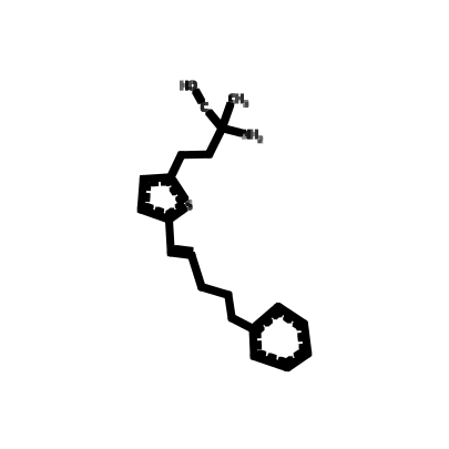 CC(N)(CO)CCc1ccc(C=CCCCc2ccccc2)s1